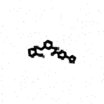 Nc1ncccc1NCc1cc(NC(=O)c2cnc(-n3ccnn3)cn2)ccn1